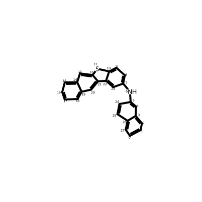 c1ccc2cc(Nc3ccc4sc5cc6ccccc6cc5c4c3)ccc2c1